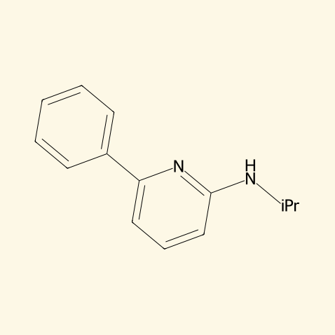 CC(C)Nc1cccc(-c2ccccc2)n1